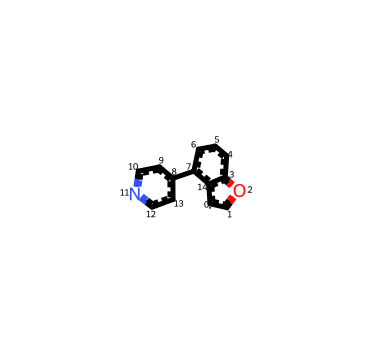 [c]1coc2cccc(-c3ccncc3)c12